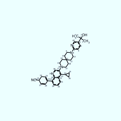 CC(C)(O)c1ccc(N2CCC3(CC2)CCN(c2cnc4c(C5=CCC(C#N)C=C5)cccc4c2C2CC2)CC3)nc1